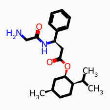 CC(C)[C@H]1CC[C@@H](C)C[C@H]1OC(=O)C[C@@H](NC(=O)CN)c1ccccc1